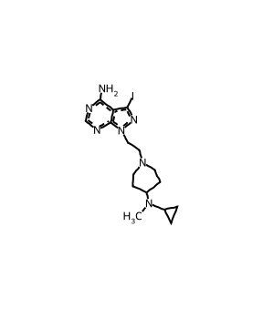 CN(C1CC1)C1CCN(CCn2nc(I)c3c(N)ncnc32)CC1